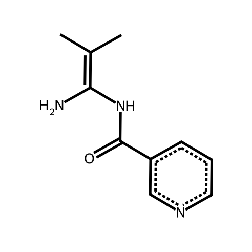 CC(C)=C(N)NC(=O)c1cccnc1